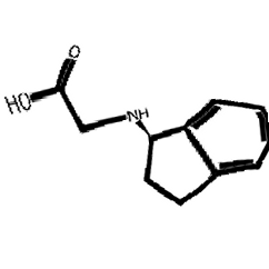 O=C(O)CN[C@@H]1CCc2ccccc21